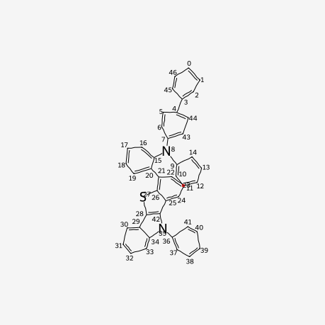 c1ccc(-c2ccc(N(c3ccccc3)c3ccccc3-c3cccc4c3sc3c5ccccc5n(-c5ccccc5)c43)cc2)cc1